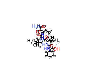 CC1(C)C2CN(C(=O)[C@@H](NC(=O)NC3(CO)CCCCC3)C(C)(C)C)[C@H](C(=O)NC(CC3CC3)C(=O)C(N)=O)C21